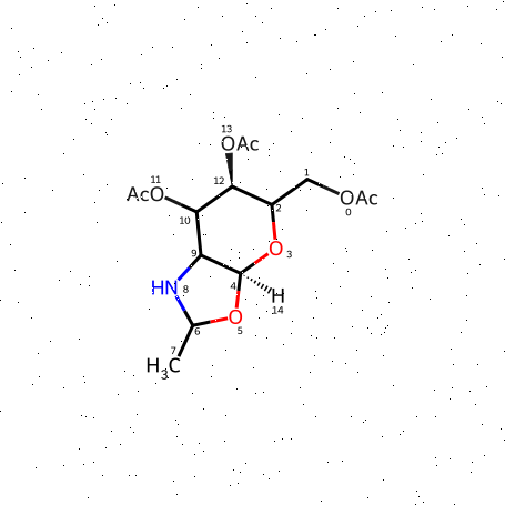 CC(=O)OCC1O[C@H]2OC(C)NC2C(OC(C)=O)[C@H]1OC(C)=O